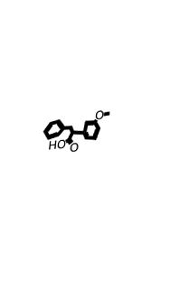 COc1cccc(C(Cc2ccccc2)C(=O)O)c1